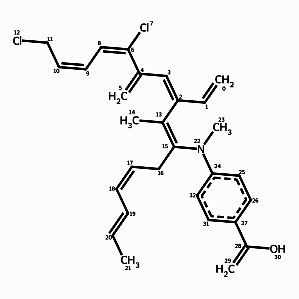 C=CC(=C/C(=C)/C(Cl)=C\C=C/CCl)/C(C)=C(/C/C=C\C=C\C)N(C)c1ccc(C(=C)O)cc1